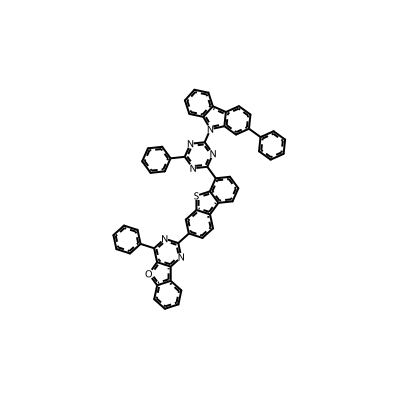 c1ccc(-c2ccc3c4ccccc4n(-c4nc(-c5ccccc5)nc(-c5cccc6c5sc5cc(-c7nc(-c8ccccc8)c8oc9ccccc9c8n7)ccc56)n4)c3c2)cc1